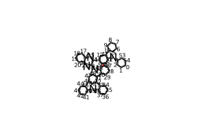 c1ccc(-n2c3ccccc3c3cc(-c4nc5ccccc5nc4-n4c5ccccc5c5c6c7ccccc7n7c8ccccc8c(cc54)c67)ccc32)cc1